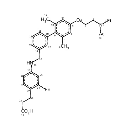 CCN(CCOc1cc(C)c(-c2cccc(CNc3ccc(CCC(=O)O)c(F)c3)c2)c(C)c1)C(C)=O